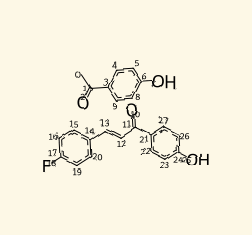 CC(=O)c1ccc(O)cc1.O=C(/C=C/c1ccc(F)cc1)c1ccc(O)cc1